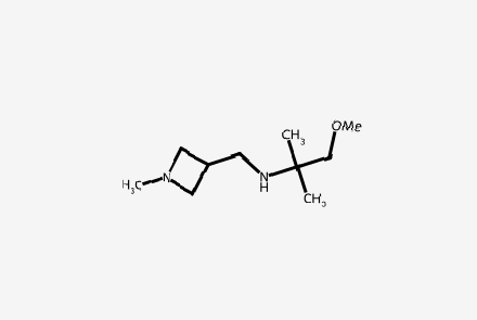 COCC(C)(C)NCC1CN(C)C1